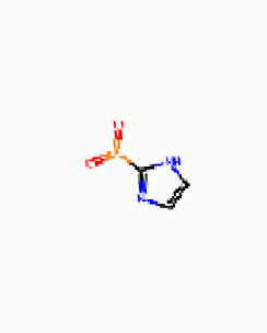 O=P(=O)c1ncc[nH]1